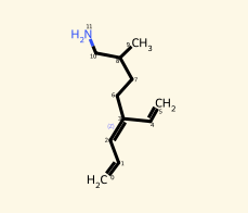 C=C/C=C(\C=C)CCC(C)CN